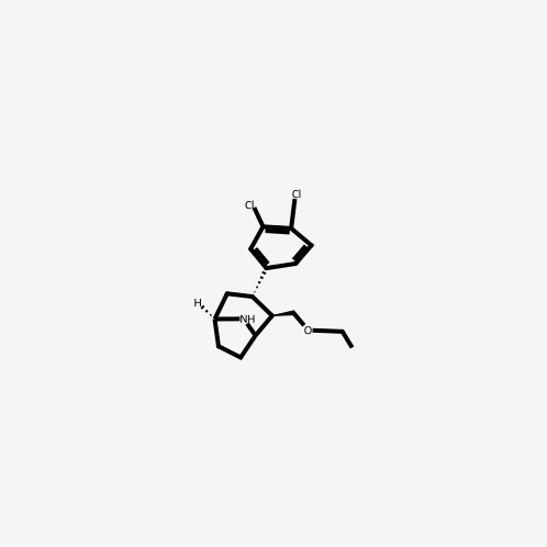 CCOC[C@H]1C2CC[C@@H](C[C@@H]1c1ccc(Cl)c(Cl)c1)N2